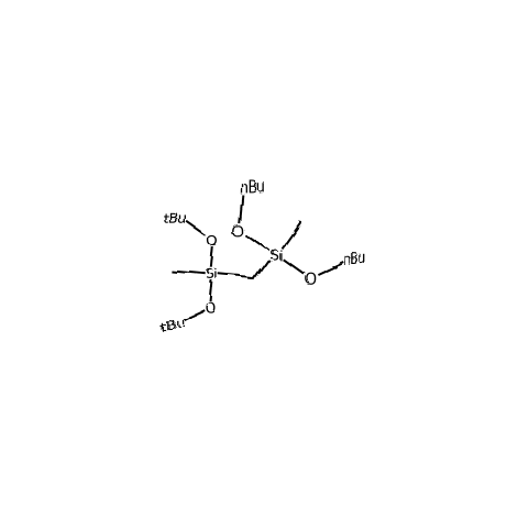 CCCCO[Si](C)(C[Si](C)(OC(C)(C)C)OC(C)(C)C)OCCCC